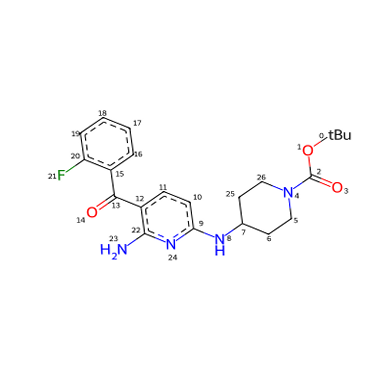 CC(C)(C)OC(=O)N1CCC(Nc2ccc(C(=O)c3ccccc3F)c(N)n2)CC1